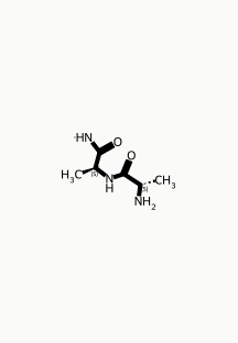 C[C@H](N)C(=O)N[C@@H](C)C([NH])=O